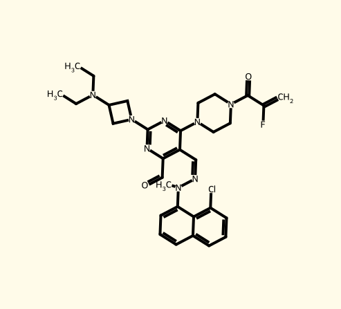 C=C(F)C(=O)N1CCN(c2nc(N3CC(N(CC)CC)C3)nc(C=O)c2/C=N\N(C)c2cccc3cccc(Cl)c23)CC1